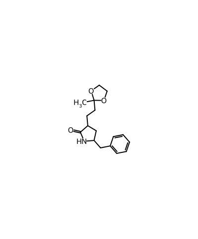 CC1(CCC2CC(Cc3ccccc3)NC2=O)OCCO1